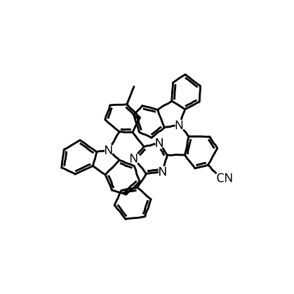 Cc1ccc(-n2c3ccccc3c3ccccc32)c(-c2nc(-c3ccccc3)nc(-c3cc(C#N)ccc3-n3c4ccccc4c4ccccc43)n2)c1